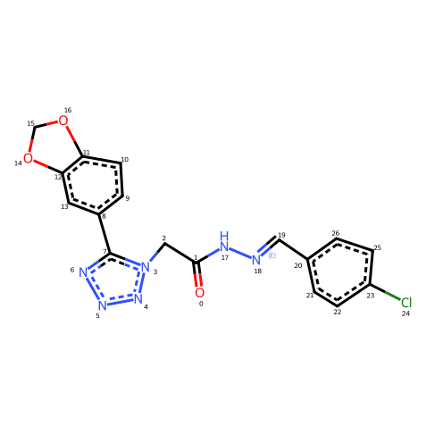 O=C(Cn1nnnc1-c1ccc2c(c1)OCO2)N/N=C/c1ccc(Cl)cc1